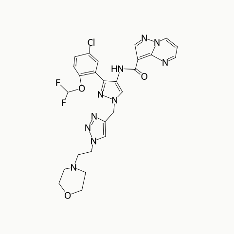 O=C(Nc1cn(Cc2cn(CCN3CCOCC3)nn2)nc1-c1cc(Cl)ccc1OC(F)F)c1cnn2cccnc12